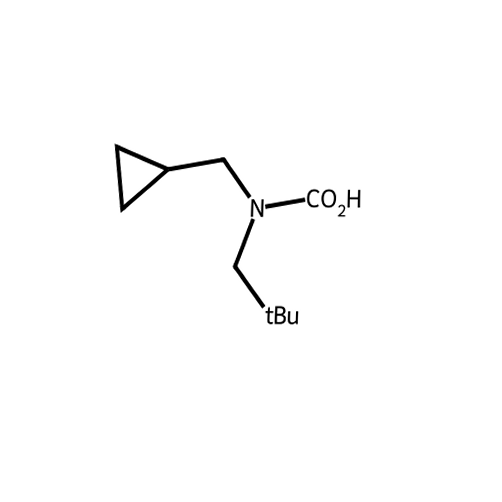 CC(C)(C)CN(CC1CC1)C(=O)O